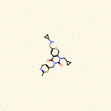 CC1=NCC=C(Cn2c(=O)c3c(n(CC4CC4)c2=O)CSC(SNC2CC2)=C3)S1